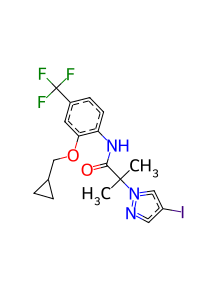 CC(C)(C(=O)Nc1ccc(C(F)(F)F)cc1OCC1CC1)n1cc(I)cn1